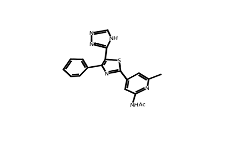 CC(=O)Nc1cc(-c2nc(-c3ccccc3)c(-c3nnc[nH]3)s2)cc(C)n1